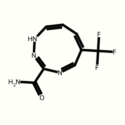 NC(=O)c1ncc(C(F)(F)F)ccc[nH]n1